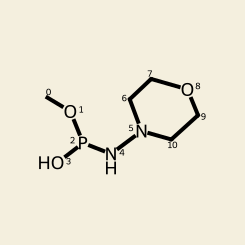 COP(O)NN1CCOCC1